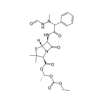 CCOC(=O)O[C@H](C)OC(=O)[C@@H]1N2C(=O)[C@H](NC(=O)C(c3ccccc3)N(C)NC=O)[C@H]2SC1(C)C